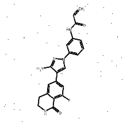 C=CC(=O)Nc1cccc(-n2cc(-c3cc(F)c4c(c3)CCNC4=O)c(N)n2)c1